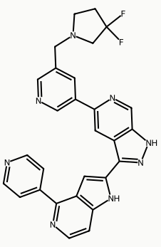 FC1(F)CCN(Cc2cncc(-c3cc4c(-c5cc6c(-c7ccncc7)nccc6[nH]5)n[nH]c4cn3)c2)C1